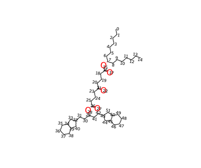 CCCCCCCC(CCCCCCC)OC(=O)CCCC(=O)CCCC(=O)OC(CCC1CC2CCCCC2C1)CCC1CC2CCCCC2C1